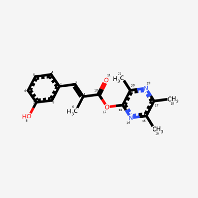 C/C(=C\c1cccc(O)c1)C(=O)Oc1nc(C)c(C)nc1C